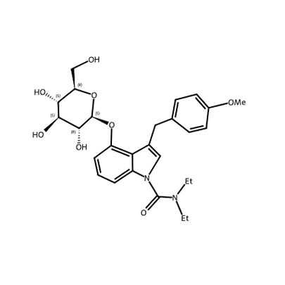 CCN(CC)C(=O)n1cc(Cc2ccc(OC)cc2)c2c(O[C@@H]3O[C@H](CO)[C@@H](O)[C@H](O)[C@H]3O)cccc21